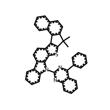 CC1(C)c2ccc3ccccc3c2-c2c1sc1c2ccc2c3ccccc3n(-c3nc(-c4ccccc4)c4ccccc4n3)c21